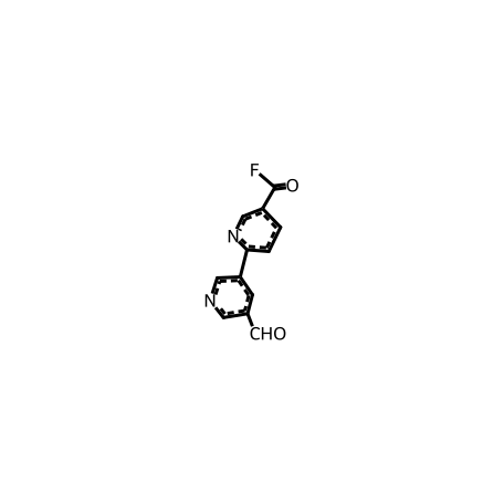 O=Cc1cncc(-c2ccc(C(=O)F)cn2)c1